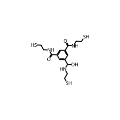 O=C(NCCS)c1cc(C(=O)NCCS)cc(C(O)NCCS)c1